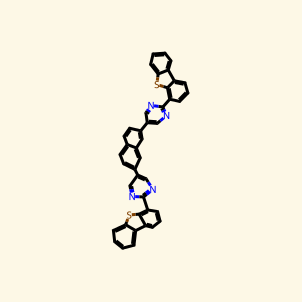 c1ccc2c(c1)sc1c(-c3ncc(-c4ccc5ccc(-c6cnc(-c7cccc8c7sc7ccccc78)nc6)cc5c4)cn3)cccc12